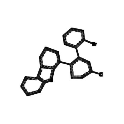 Clc1ccc(-c2cccc3c2sc2ccccc23)c(-c2ccccc2Br)c1